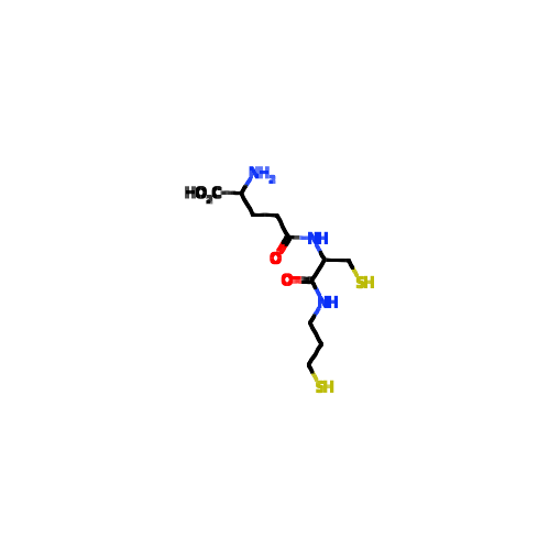 NC(CCC(=O)NC(CS)C(=O)NCCCS)C(=O)O